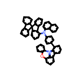 c1ccc2c(c1)Oc1cccc3c4cccc(-c5ccc(N(c6cccc7c6-c6ccccc6C76c7ccccc7-c7ccccc76)c6cccc7ccccc67)cc5)c4n-2c13